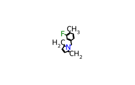 C=c1ccc(=C)n1Cc1ccc(C)c(F)c1